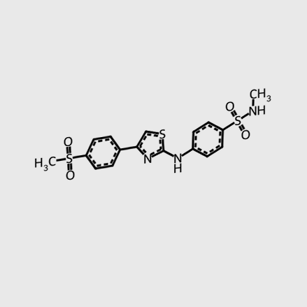 CNS(=O)(=O)c1ccc(Nc2nc(-c3ccc(S(C)(=O)=O)cc3)cs2)cc1